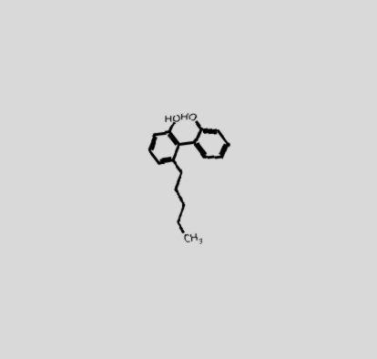 CCCCCc1cccc(O)c1-c1ccccc1O